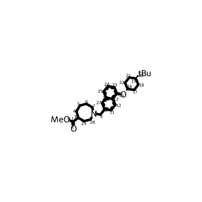 COC(=O)C1CCCCN(Cc2ccc3c(O[C@H]4CC[C@H](C(C)(C)C)CC4)cccc3c2)CC1